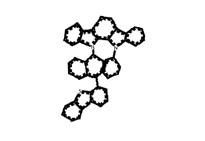 c1ccc(-n2c3ccccc3c3ccc4c5ccccc5n(-c5ccc(-c6cccc7c6sc6ccccc67)c6ccccc56)c4c32)cc1